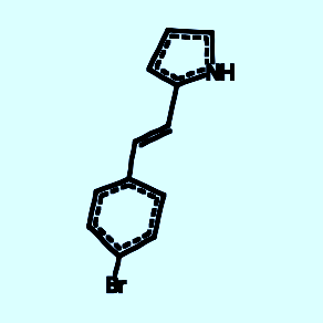 Brc1ccc(/C=C/c2ccc[nH]2)cc1